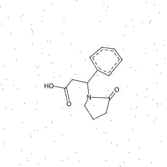 O=C(O)CC(c1ccccc1)N1CCCC1=O